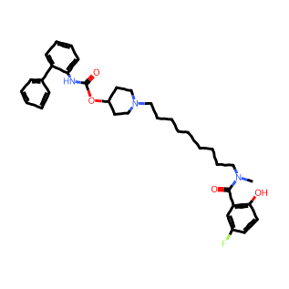 CN(CCCCCCCCCN1CCC(OC(=O)Nc2ccccc2-c2ccccc2)CC1)C(=O)c1cc(F)ccc1O